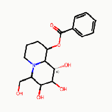 O=C(OC1CCCN2C(CO)C(O)C(O)[C@@H](O)C12)c1ccccc1